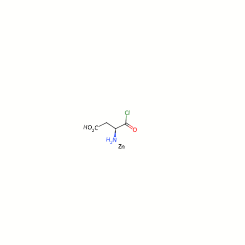 N[C@@H](CC(=O)O)C(=O)Cl.[Zn]